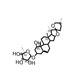 C[C@@H]1CCC2(OC1)OC1CC3C4CC=C5CC(OC6O[C@@H](C)[C@H](O)[C@@H](O)[C@H]6O)C[C@@H](O)[C@]5(C)C4CC[C@]3(C)C1[C@@H]2C